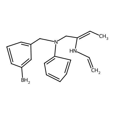 Bc1cccc(CN(C/C(=C/C)NC=C)c2ccccc2)c1